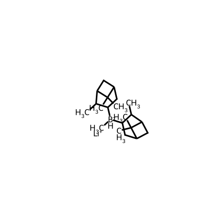 C[BH-](C1CC2CC(C1C)C2(C)C)C1CC2CC(C1C)C2(C)C.[Li+]